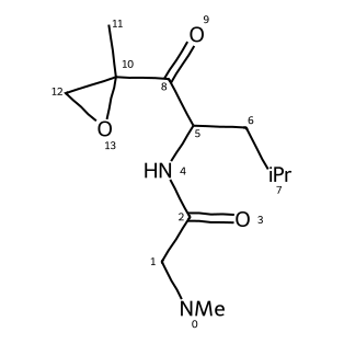 CNCC(=O)NC(CC(C)C)C(=O)C1(C)CO1